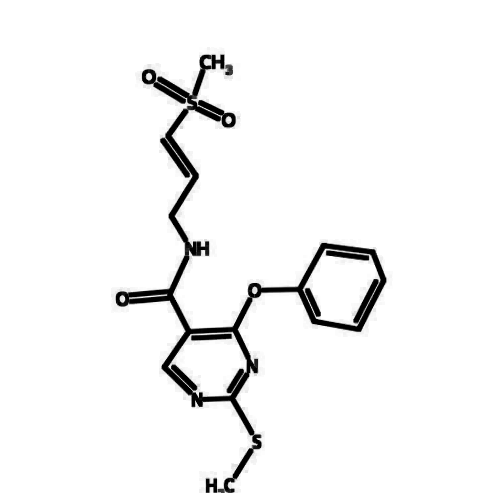 CSc1ncc(C(=O)NC/C=C/S(C)(=O)=O)c(Oc2ccccc2)n1